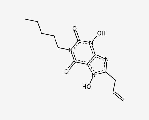 C=CCc1nc2c(c(=O)n(CCCCC)c(=O)n2O)n1O